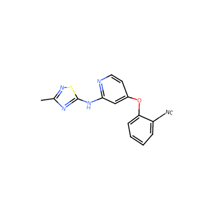 [C-]#[N+]c1ccccc1Oc1ccnc(Nc2nc(C)ns2)c1